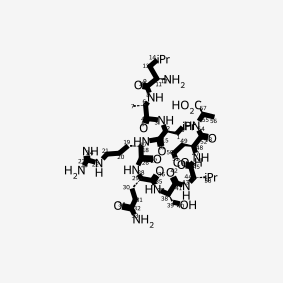 CC(C)C[C@H](NC(=O)[C@H](C)NC(=O)[C@@H](N)CC(C)C)C(=O)N[C@@H](CCCNC(=N)N)C(=O)N[C@@H](CCC(N)=O)C(=O)N[C@@H](CO)C(=O)N[C@H](C(=O)N[C@@H](CCC(=O)O)C(=O)N[C@@H](C)C(=O)O)C(C)C